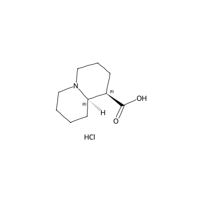 Cl.O=C(O)[C@@H]1CCCN2CCCC[C@H]12